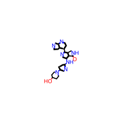 O=C1NCc2c(-c3ccnc4cnccc34)ncc(Nc3ccc(N4CCC(O)CC4)cn3)c21